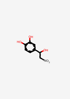 O=[N+]([O-])CC(O)c1ccc(O)c(O)c1